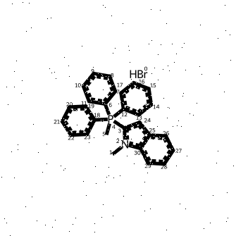 Br.Cn1c(P(C)(c2ccccc2)(c2ccccc2)c2ccccc2)cc2ccccc21